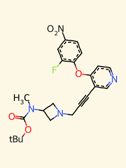 CN(C(=O)OC(C)(C)C)C1CN(CC#Cc2cnccc2Oc2ccc([N+](=O)[O-])cc2F)C1